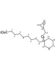 CCCCCCCCCCCCCCCCCCC1(OCC2CO2)CCCCC1